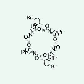 CC(C)C[C@H]1C(=O)O[C@H](Cc2ccc(Br)cc2)C(=O)N(C)[C@@H](CC(C)C)C(=O)O[C@H](C)C(=O)N(C)[C@@H](CC(C)C)C(=O)O[C@H](Cc2ccc(Br)cc2)C(=O)N(C)[C@@H](CC(C)C)C(=O)O[C@H](C)C(=O)N1C